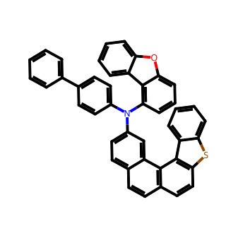 c1ccc(-c2ccc(N(c3ccc4ccc5ccc6sc7ccccc7c6c5c4c3)c3cccc4oc5ccccc5c34)cc2)cc1